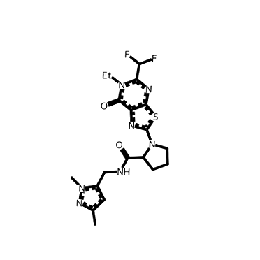 CCn1c(C(F)F)nc2sc(N3CCCC3C(=O)NCc3cc(C)nn3C)nc2c1=O